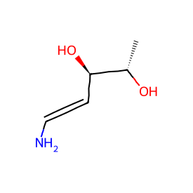 C[C@H](O)[C@H](O)C=CN